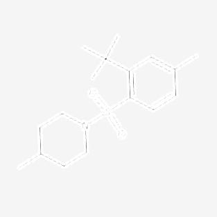 Cc1ccc(S(=O)(=O)N2CCC(C)CC2)c(C(C)(C)C)c1